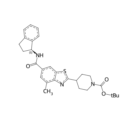 Cc1cc(C(=O)N[C@H]2CCc3ccccc32)cc2sc(C3CCN(C(=O)OC(C)(C)C)CC3)nc12